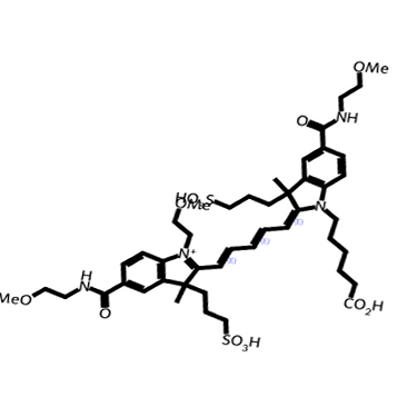 COCCNC(=O)c1ccc2c(c1)C(C)(CCCS(=O)(=O)O)C(/C=C/C=C/C=C1/N(CCCCCC(=O)O)c3ccc(C(=O)NCCOC)cc3C1(C)CCCS(=O)(=O)O)=[N+]2CCOC